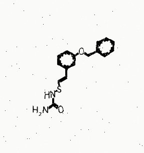 NC(=O)NSC=Cc1cccc(OCc2ccccc2)c1